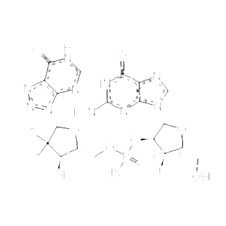 Nc1nc2c(ncn2[C@@H]2O[C@H](CO)[C@@H](I)[C@H]2OP(=O)(S)OC[C@H]2O[C@@H](n3nnc4c(=O)[nH]cnc43)C(F)(I)[C@@H]2O)c(=O)[nH]1